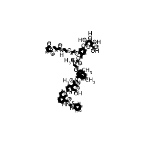 Cc1c(-c2ccc(N3CCc4cccc(C(=O)Nc5nc6ccccc6s5)c4C3)nc2C(=O)O)cnn1CC12CC3(C)CC(C)(C1)CC(OCCN(C)C(=O)OCc1ccc(O[C@@H]4O[C@H](C(=O)O)C(O)C(O)C4O)cc1OCCOCCNC(=O)CCN1C(=O)C=CC1=O)(C3)C2